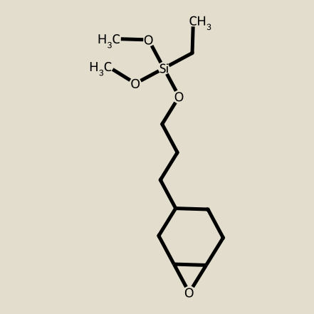 CC[Si](OC)(OC)OCCCC1CCC2OC2C1